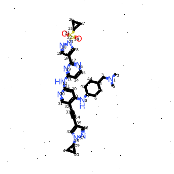 CN(C)CC1CCC(Nc2cc(Nc3ccnc(-c4cnn(S(=O)(=O)C5CC5)c4)n3)ncc2C#Cc2cnn(C3CC3)c2)CC1